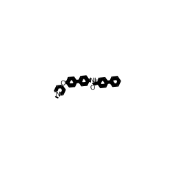 CN1CCC(Oc2ccc(-c3ccc(NC(=O)c4ccc(C5=CCCC=C5)cc4)cc3)cc2)CC1